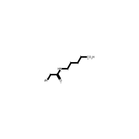 CC(C)CC(=O)NCCCCC(=O)O